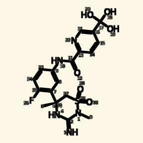 CN1C(=N)N[C@](C)(c2cc(NC(=O)c3ccc(C(O)(O)O)cn3)ccc2F)CS1(=O)=O